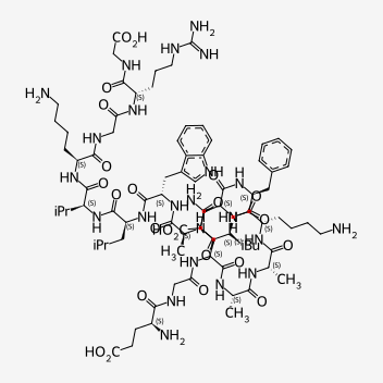 CC[C@H](C)[C@H](NC(=O)[C@H](Cc1ccccc1)NC(=O)[C@H](CCC(=O)O)NC(=O)[C@H](CCCCN)NC(=O)[C@H](C)NC(=O)[C@H](C)NC(=O)[C@H](CCC(N)=O)NC(=O)CNC(=O)[C@@H](N)CCC(=O)O)C(=O)N[C@@H](C)C(=O)N[C@@H](Cc1c[nH]c2ccccc12)C(=O)N[C@@H](CC(C)C)C(=O)N[C@H](C(=O)N[C@@H](CCCCN)C(=O)NCC(=O)N[C@@H](CCCNC(=N)N)C(=O)NCC(=O)O)C(C)C